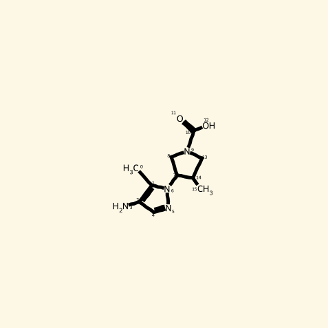 Cc1c(N)cnn1C1CN(C(=O)O)CC1C